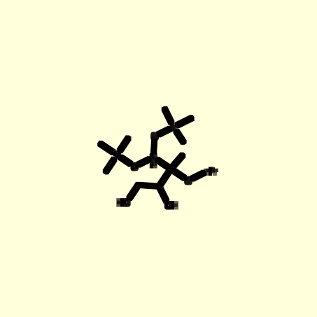 CCCOC(C)(C(O)CO)[SiH](O[Si](C)(C)C)O[Si](C)(C)C